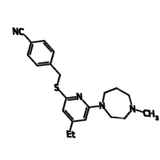 CCc1cc(SCc2ccc(C#N)cc2)nc(N2CCCN(C)CC2)c1